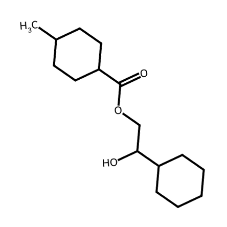 CC1CCC(C(=O)OCC(O)C2CCCCC2)CC1